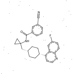 N#Cc1cccc(C(=O)NC2(C[C@H]3CC[C@@H](c4ccnc5ccc(F)cc54)CC3)CC2)c1